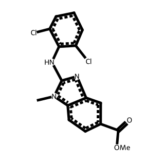 COC(=O)c1ccc2c(c1)nc(Nc1c(Cl)cccc1Cl)n2C